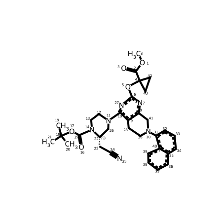 COC(=O)C1(Oc2nc3c(c(N4CCN(C(=O)OC(C)(C)C)[C@@H](CC#N)C4)n2)CCN(c2cccc4ccccc24)C3)CC1